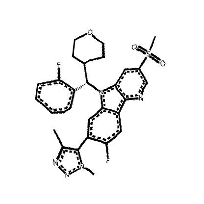 Cc1nnn(C)c1-c1cc2c(cc1F)c1ncc(S(C)(=O)=O)cc1n2[C@H](c1ccccc1F)C1CCOCC1